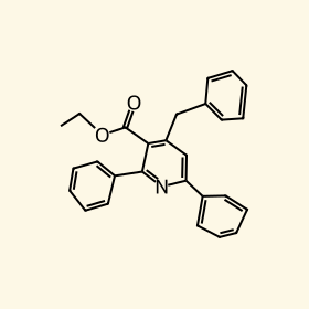 CCOC(=O)c1c(Cc2ccccc2)cc(-c2ccccc2)nc1-c1ccccc1